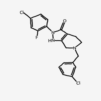 O=c1c2c([nH]n1-c1ccc(Cl)cc1F)CN(Cc1cccc(Cl)c1)CC2